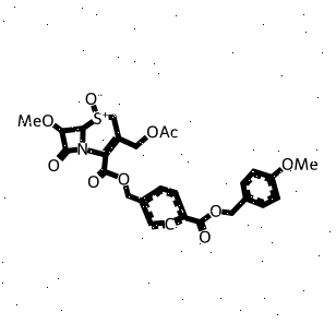 COc1ccc(COC(=O)c2ccc(COC(=O)C3=C(COC(C)=O)C[S+]([O-])C4C(OC)C(=O)N34)cc2)cc1